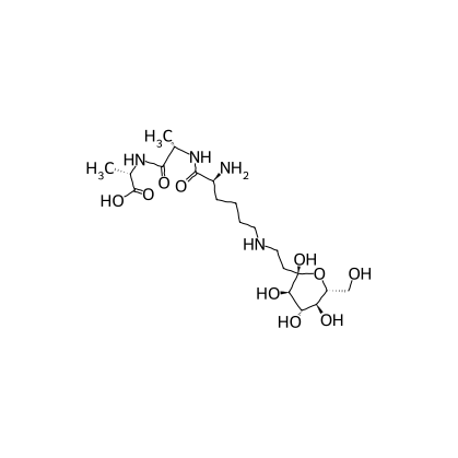 C[C@H](NC(=O)[C@H](C)NC(=O)[C@@H](N)CCCCNCC[C@]1(O)O[C@H](CO)[C@@H](O)[C@H](O)[C@H]1O)C(=O)O